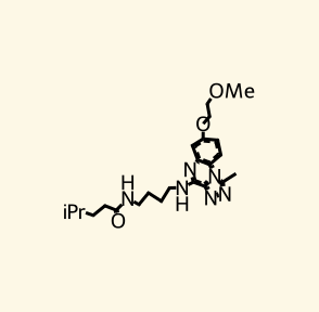 COCCOc1ccc2c(c1)nc(NCCCCNC(=O)CCC(C)C)c1nnc(C)n12